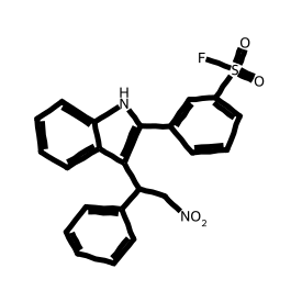 O=[N+]([O-])CC(c1ccccc1)c1c(-c2cccc(S(=O)(=O)F)c2)[nH]c2ccccc12